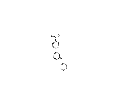 O=[N+]([O-])c1ccc(C2=CC=CN(Cc3ccccc3)C2)cc1